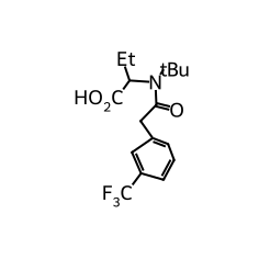 CCC(C(=O)O)N(C(=O)Cc1cccc(C(F)(F)F)c1)C(C)(C)C